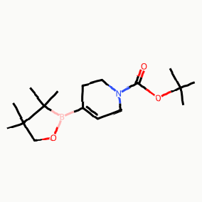 CC(C)(C)OC(=O)N1CC=C(B2OCC(C)(C)C2(C)C)CC1